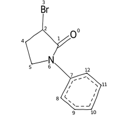 O=C1C(Br)CCN1c1ccccc1